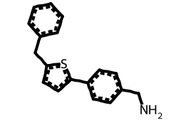 NCc1ccc(-c2ccc(Cc3ccccc3)s2)cc1